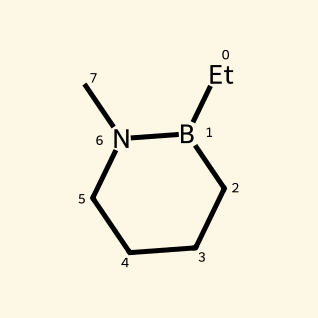 CCB1CCCCN1C